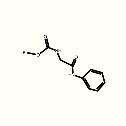 CC(C)(C)OC(=O)NCC(=O)Nc1[c]cccc1